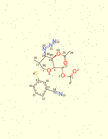 CC(=O)OCC1O[C@H](Sc2cccc(C#N)c2)C(C)[C@@H](N=[N+]=[N-])[C@H]1OC(C)=O